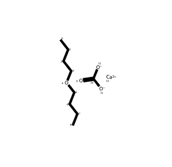 CCCCOCCCC.O=C([O-])[O-].[Ca+2]